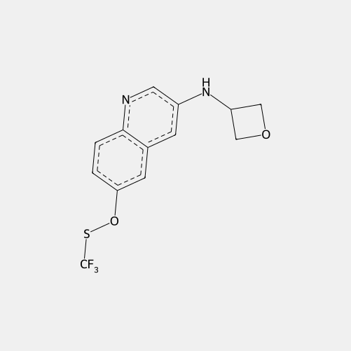 FC(F)(F)SOc1ccc2ncc(NC3COC3)cc2c1